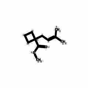 COC(=O)C1(CC=C(C)C)CCC1